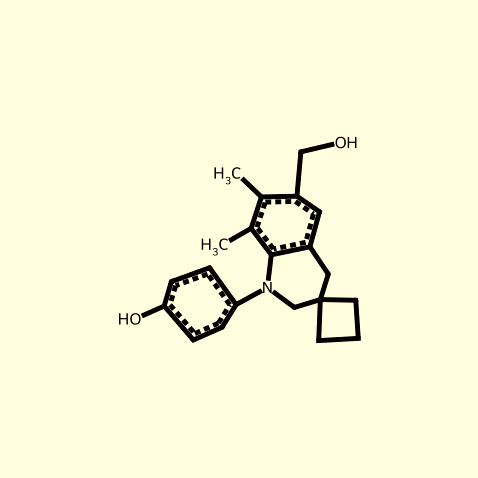 Cc1c(CO)cc2c(c1C)N(c1ccc(O)cc1)CC1(CCC1)C2